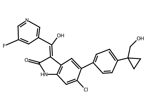 O=C1Nc2cc(Cl)c(-c3ccc(C4(CO)CC4)cc3)cc2C1=C(O)c1cncc(F)c1